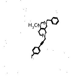 CN1CN(Cc2ccccc2)CC2=C1CCN(CC#Cc1ccc(I)cc1)C2